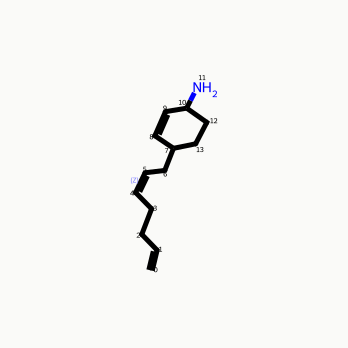 C=CCC/C=C\CC1C=CC(N)CC1